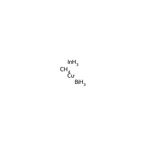 C.[BiH3].[Cu].[InH3]